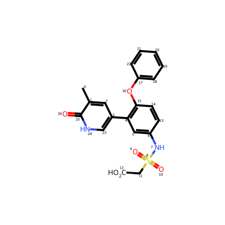 Cc1cc(-c2cc(NS(=O)(=O)CC(=O)O)ccc2Oc2ccccc2)c[nH]c1=O